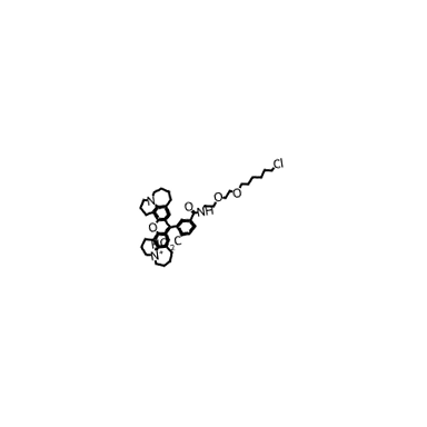 O=C(NCCOCCOCCCCCCCl)c1ccc(C(=O)O)c(C2=c3cc4c5c(c3Oc3c2cc2c6c3CCCN6CCCC2)CCC[N+]=5CCCC4)c1